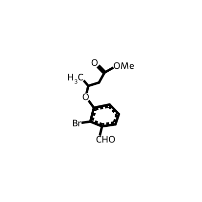 COC(=O)CC(C)Oc1cccc(C=O)c1Br